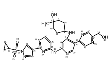 CC1(O)CCC(Nc2cc(Nc3ccnc(-c4cnn(S(=O)(=O)C5CC5)c4)n3)ncc2-c2cnc(CO)cn2)CC1